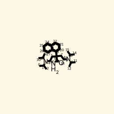 CC(C)N(CCC(CCN(C(C)C)C(C)C)(C(N)=O)c1cccc2ccccc12)C(C)C